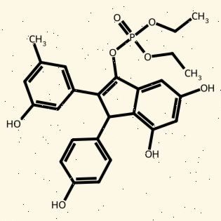 CCOP(=O)(OCC)OC1=C(c2cc(C)cc(O)c2)C(c2ccc(O)cc2)c2c(O)cc(O)cc21